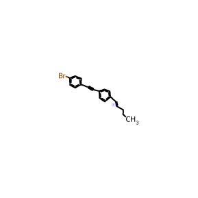 CCC/C=C/c1ccc(C#Cc2ccc(Br)cc2)cc1